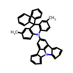 Cc1ccc2c(c1)C(c1ccccc1)(c1ccccc1)c1cc(C)ccc1N2c1cc2c3ccccc3n3c4ccccc4c(c1)c23